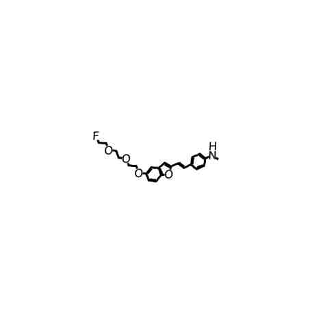 CNc1ccc(C=Cc2cc3cc(OCCOCCOCCF)ccc3o2)cc1